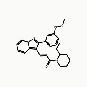 CCC1CCCCN1C(=O)C=Cc1c(-c2cccc(NOC)c2)nn2ccccc12